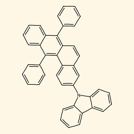 c1ccc(-c2c3ccccc3c(-c3ccccc3)c3c2ccc2cc(-n4c5ccccc5c5ccccc54)ccc23)cc1